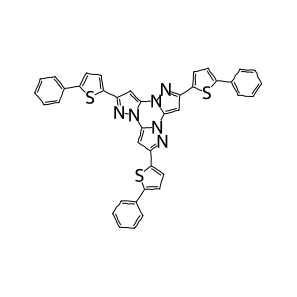 c1ccc(-c2ccc(-c3cc4n(n3)c3cc(-c5ccc(-c6ccccc6)s5)nn3c3cc(-c5ccc(-c6ccccc6)s5)nn43)s2)cc1